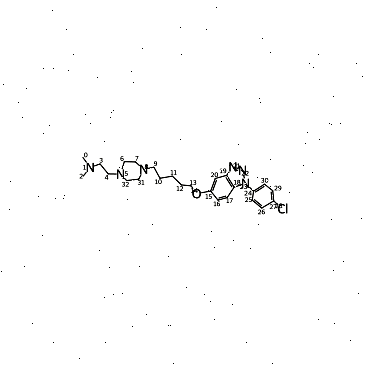 CN(C)CCN1CCN(CCCCCOc2ccc3c(c2)nnn3-c2ccc(Cl)cc2)CC1